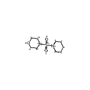 O=S(=O)(N1CCCCC1)N1CCOCC1